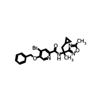 Cc1nc(C(C)(CC2CC2)NC(=O)c2cc(Br)c(OCc3ccccc3)cn2)no1